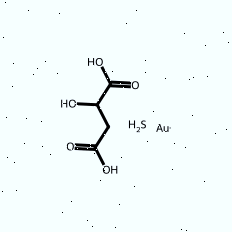 O=C(O)CC(O)C(=O)O.S.[Au]